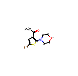 COC(=O)c1cc(Br)sc1N1CCOCC1